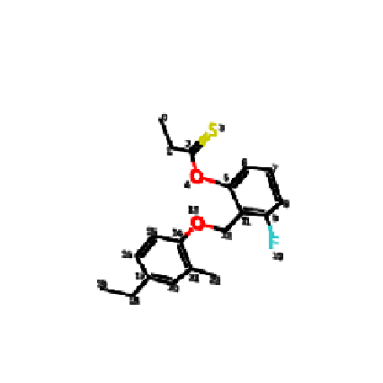 CCC(=S)Oc1cccc(F)c1COc1ccc(CC)cc1C